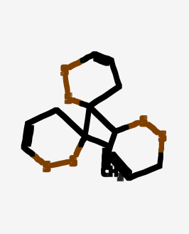 C=CC1(C2(C3C=CCSS3)CC=CSS2)CC=CSS1